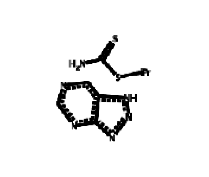 CC(C)SC(N)=S.c1ncc2[nH]nnc2n1